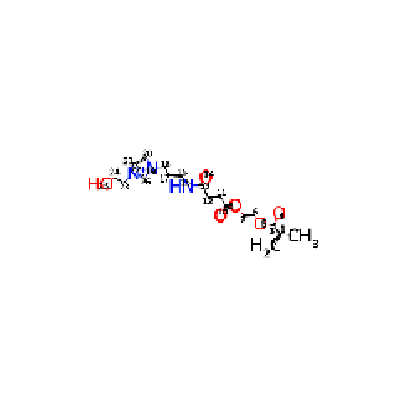 C=C(C)C(=O)OCCOC(=O)CCC(=O)NCCCn1cc[n+](CCO)c1